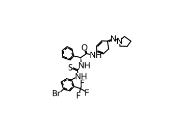 O=C(NC1=CCC(=NN2CCCC2)C=C1)[C@@H](NC(=S)Nc1ccc(Br)cc1C(F)(F)F)c1ccccc1